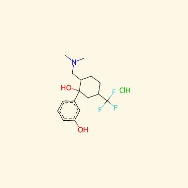 CN(C)CC1CCC(C(F)(F)F)CC1(O)c1cccc(O)c1.Cl